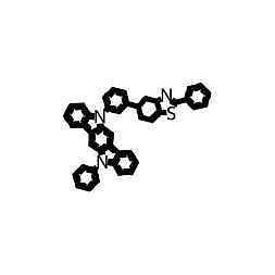 C1=C2SC(c3ccccc3)=NC2CC(c2cccc(-n3c4ccccc4c4cc5c(cc43)c3ccccc3n5-c3ccccc3)c2)C1